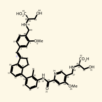 COc1cc(/C=C2\CCc3c2cccc3-c2cccc(NC(=O)c3cc(OC)c(CN[C@H](CO)C(=O)O)cn3)c2C)ccc1CN[C@H](CO)C(=O)O